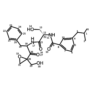 CC(C)Cc1cccc(C(=O)N[C@@H](CO)C(=O)NC(Cc2ccccc2)C(=O)C2(CO)CO2)c1